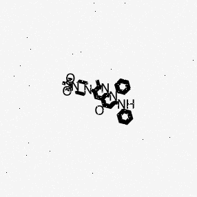 Cc1nc2c(cc1N1CCN(S(C)(=O)=O)CC1)c(=O)cc(Nc1ccccc1)n2-c1ccccc1